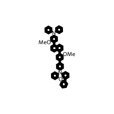 COc1cc(-c2ccc(N(c3ccccc3)c3cccc4c3oc3ccccc34)cc2)ccc1-c1cccc2c(-c3ccc(N(c4ccccc4)c4ccccc4)cc3OC)cccc12